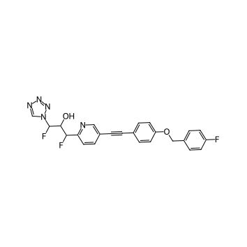 OC(C(F)c1ccc(C#Cc2ccc(OCc3ccc(F)cc3)cc2)cn1)C(F)n1cnnn1